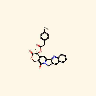 C[C@@]1(OC(=O)Cc2ccc([N+](=O)[O-])cc2)C(=O)OCc2c1cc1n(c2=O)Cc2cc3ccccc3nc2-1